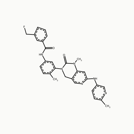 Cc1ccc(Nc2cc3c(cn2)CN(c2cc(NC(=O)c4cccc(CF)c4)ccc2C)C(=O)N3C)cn1